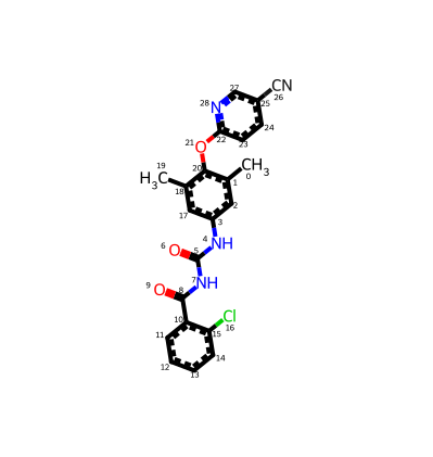 Cc1cc(NC(=O)NC(=O)c2ccccc2Cl)cc(C)c1Oc1ccc(C#N)cn1